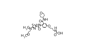 COCCN(C)c1nc(C(=O)Nc2ccc(OCCCNC(=O)O)cc2C(=O)NC2CCOCC2)cs1